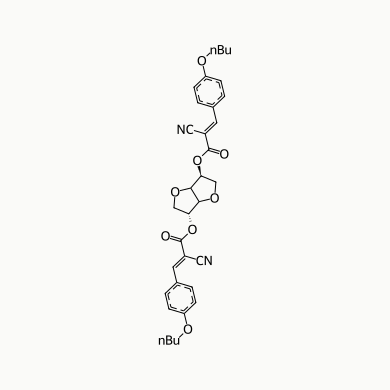 CCCCOc1ccc(/C=C(\C#N)C(=O)O[C@H]2COC3C2OC[C@H]3OC(=O)/C(C#N)=C/c2ccc(OCCCC)cc2)cc1